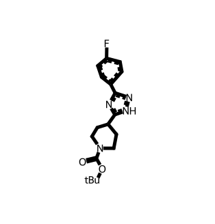 CC(C)(C)OC(=O)N1CCC(c2nc(-c3ccc(F)cc3)n[nH]2)CC1